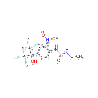 CCNC(=O)Nc1ccc(C(O)(C(F)(F)F)C(F)(F)F)cc1[N+](=O)[O-]